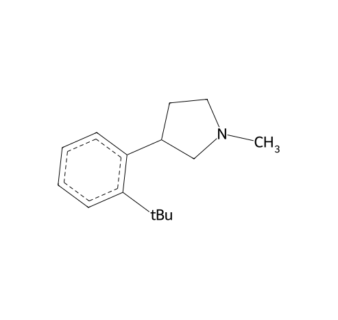 CN1CCC(c2ccccc2C(C)(C)C)C1